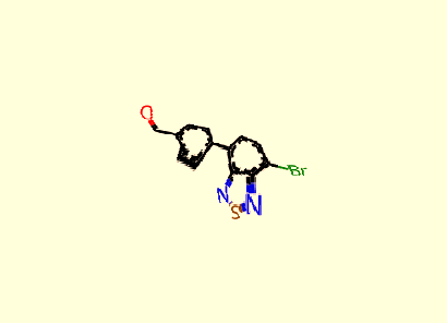 O=Cc1ccc(-c2ccc(Br)c3nsnc23)cc1